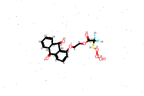 O=C1c2cccc(OCCOC(=O)C(F)(F)SOOO)c2C(=O)C2C=CC=CC12